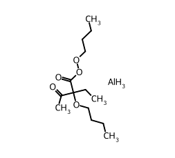 CCCCOOC(=O)C(CC)(OCCCC)C(C)=O.[AlH3]